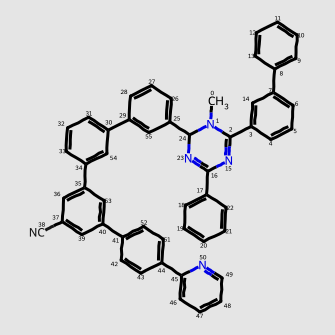 CN1C(c2cccc(-c3ccccc3)c2)=NC(c2ccccc2)=NC1c1cccc(-c2cccc(-c3cc(C#N)cc(-c4ccc(-c5ccccn5)cc4)c3)c2)c1